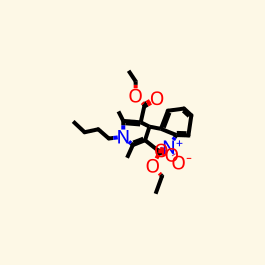 CCCCN1C(C)=C(C(=O)OCC)C(c2ccccc2[N+](=O)[O-])C(C(=O)OCC)=C1C